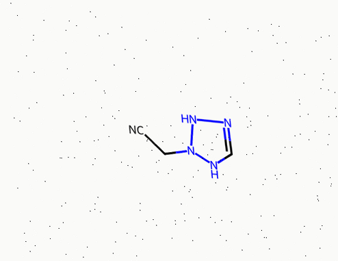 N#CCN1NC=NN1